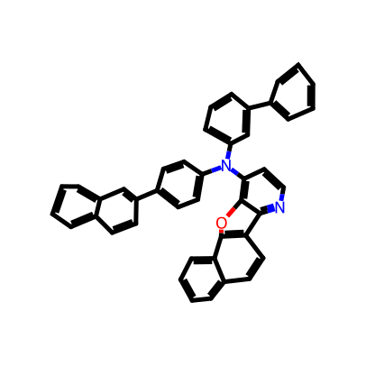 c1ccc(-c2cccc(N(c3ccc(-c4ccc5ccccc5c4)cc3)c3ccnc4c3oc3c5ccccc5ccc43)c2)cc1